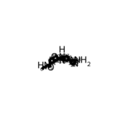 C=CCNC(=O)c1ccc2c(c1)CC(c1nc3cc(-c4ccnc(N)n4)ccc3[nH]1)CO2